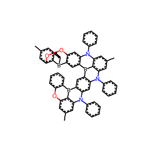 Cc1cc2c3c(c1)Oc1cc4c(cc1B3c1ccccc1O2)B1c2cc3c(cc2N(c2ccccc2)c2cc(C)cc(c21)N4c1ccccc1)N(c1ccccc1)c1cc(C)cc2c1B3c1ccccc1O2